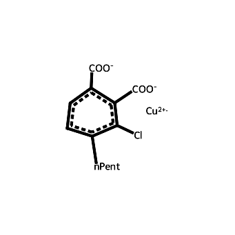 CCCCCc1ccc(C(=O)[O-])c(C(=O)[O-])c1Cl.[Cu+2]